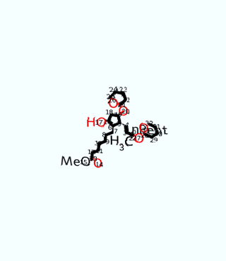 CCCCCC(C)(C=C[C@@H]1[C@@H](CCCCCCC(=O)OC)[C@@H](O)C[C@H]1OC1CCCCO1)OC1CCCCO1